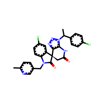 Cc1ccc(CN2C(=O)[C@]3(CC(=O)Nc4c3nnn4C(C)c3ccc(Cl)cc3)c3cc(Cl)ccc32)cn1